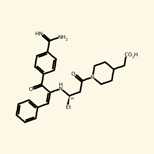 CC[C@H](CC(=O)N1CCC(CC(=O)O)CC1)NC(=Cc1ccccc1)C(=O)c1ccc(C(=N)N)cc1